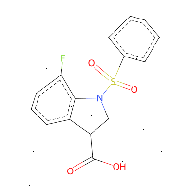 O=C(O)C1CN(S(=O)(=O)c2ccccc2)c2c(F)cccc21